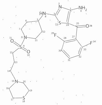 Nc1nc(NC2CCN(S(=O)(=O)CCCN3CCSCC3)CC2)sc1C(=O)c1c(F)cccc1F